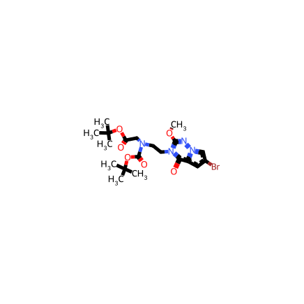 COc1nn2cc(Br)cc2c(=O)n1CCN(CC(=O)OC(C)(C)C)C(=O)OC(C)(C)C